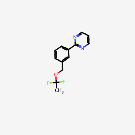 CC(F)(F)OCc1cccc(-c2ncccn2)c1